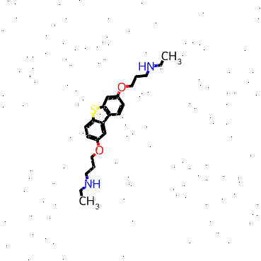 CCNCCCOc1ccc2c(c1)sc1ccc(OCCCNCC)cc12